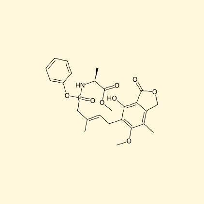 COC(=O)[C@H](C)NP(=O)(C/C(C)=C/Cc1c(O)c2c(c(C)c1OC)COC2=O)Oc1ccccc1